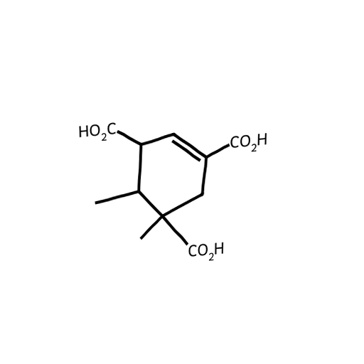 CC1C(C(=O)O)C=C(C(=O)O)CC1(C)C(=O)O